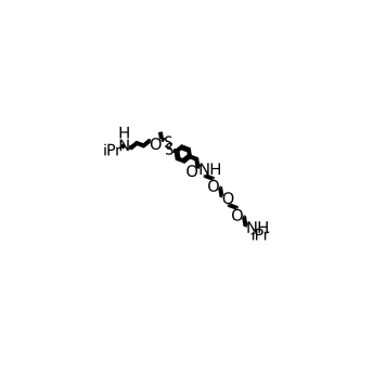 CC(C)NCCCCOC(C)SSc1ccc(CC(=O)NCCOCCOCCOCCNC(C)C)cc1